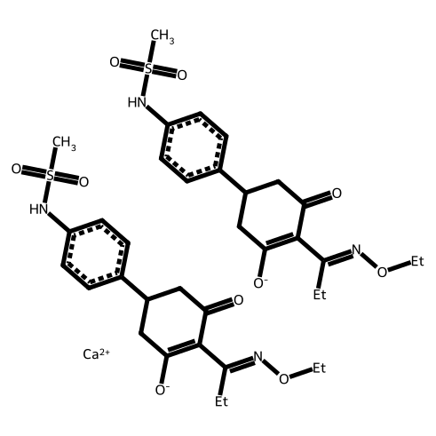 CCON=C(CC)C1=C([O-])CC(c2ccc(NS(C)(=O)=O)cc2)CC1=O.CCON=C(CC)C1=C([O-])CC(c2ccc(NS(C)(=O)=O)cc2)CC1=O.[Ca+2]